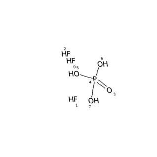 F.F.F.O=P(O)(O)O